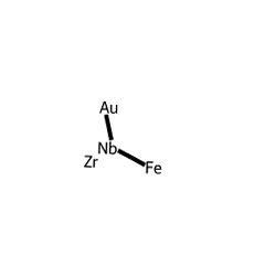 [Fe][Nb][Au].[Zr]